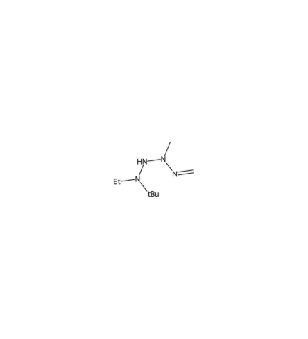 C=NN(C)NN(CC)C(C)(C)C